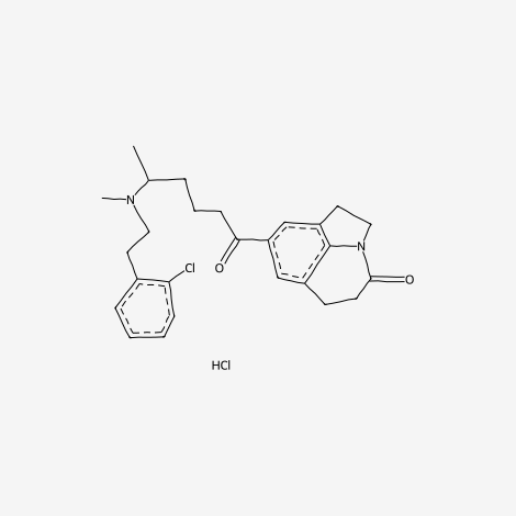 CC(CCCC(=O)c1cc2c3c(c1)CCN3C(=O)CC2)N(C)CCc1ccccc1Cl.Cl